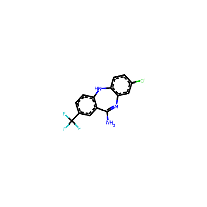 NC1=Nc2cc(Cl)ccc2Nc2ccc(C(F)(F)F)cc21